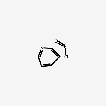 O=PCl.c1ccncc1